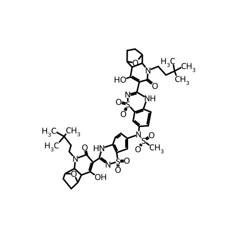 CC(C)(C)CCN1C(=O)C(C2=NS(=O)(=O)c3cc(N(c4ccc5c(c4)S(=O)(=O)N=C(C4=C(O)C6C7CCC(O7)C6N(CCC(C)(C)C)C4=O)N5)S(C)(=O)=O)ccc3N2)=C(O)C2C3CCC(O3)C21